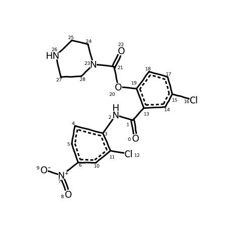 O=C(Nc1ccc([N+](=O)[O-])cc1Cl)c1cc(Cl)ccc1OC(=O)N1CCNCC1